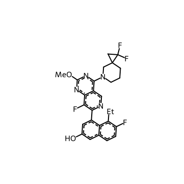 CCc1c(F)ccc2cc(O)cc(-c3ncc4c(N5CCCC6(C5)CC6(F)F)nc(OC)nc4c3F)c12